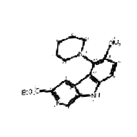 CCOC(=O)c1cc2c(cn1)[nH]c1ccc([N+](=O)[O-])c(N3CCCCC3)c12